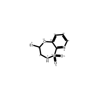 CCC1CNS(=O)(=O)c2ncccc2O1